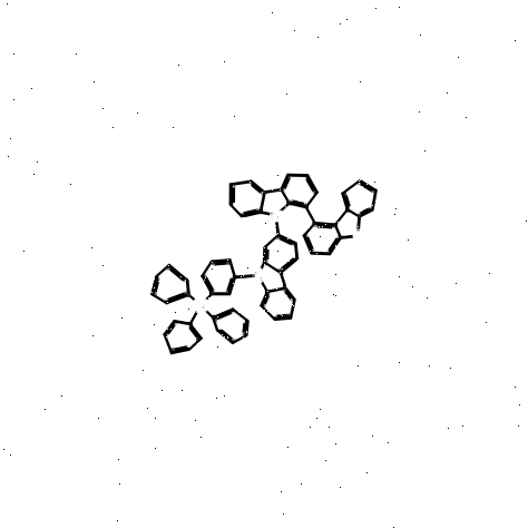 c1ccc([Si](c2ccccc2)(c2ccccc2)c2cccc(-n3c4ccccc4c4ccc(-n5c6ccccc6c6cccc(-c7cccc8sc9ccccc9c78)c65)cc43)c2)cc1